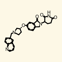 O=C1CCC(N2Cc3ccc(O[C@H]4CCN(Cc5ccc6ncccc6c5)C4)cc3C2=O)C(=O)N1